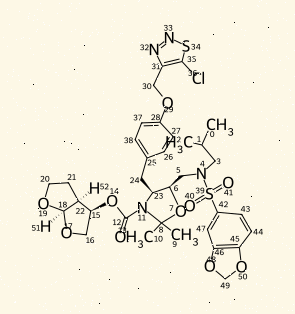 CC(C)CN(C[C@H]1OC(C)(C)N(C(=O)O[C@H]2CO[C@H]3OCC[C@H]32)[C@H]1Cc1ccc(OCc2nnsc2Cl)cc1)S(=O)(=O)c1ccc2c(c1)OCO2